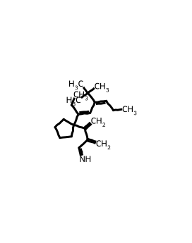 C=C(C=N)C(=C)C1(/C(=C/C(=C\CC)C(C)(C)C)CC)CCCC1